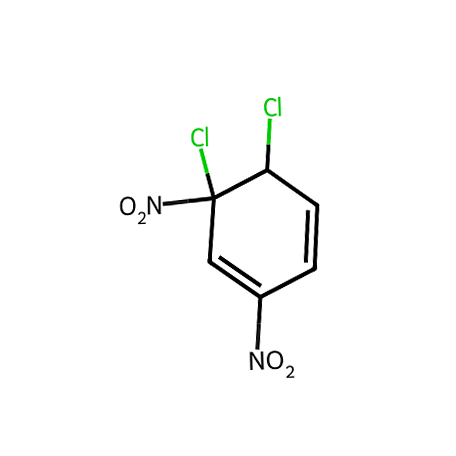 O=[N+]([O-])C1=CC(Cl)([N+](=O)[O-])C(Cl)C=C1